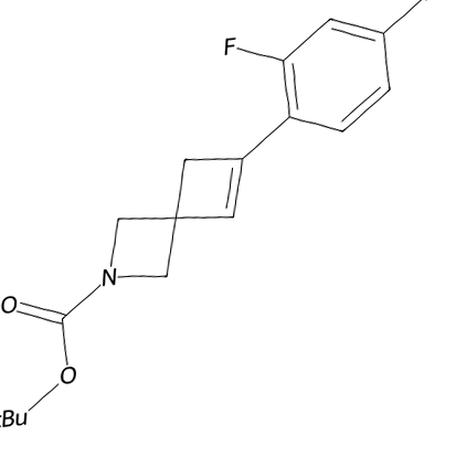 CC(C)(C)OC(=O)N1CC2(C=C(c3ccc(F)cc3F)C2)C1